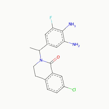 CC(c1cc(N)c(N)c(F)c1)N1CCc2ccc(Cl)cc2C1=O